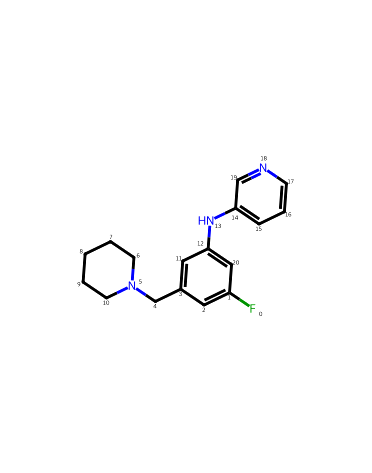 Fc1cc(CN2CCCCC2)cc(Nc2cccnc2)c1